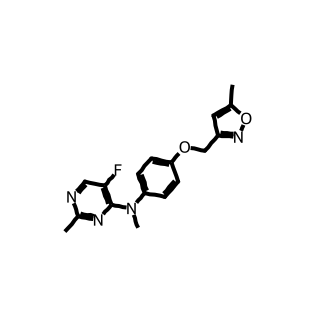 Cc1ncc(F)c(N(C)c2ccc(OCc3cc(C)on3)cc2)n1